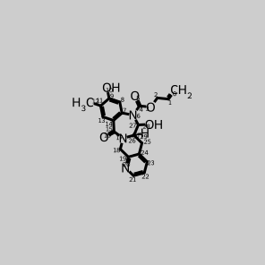 C=CCOC(=O)N1c2cc(O)c(C)cc2C(=O)N2Cc3ncccc3C[C@H]2C1O